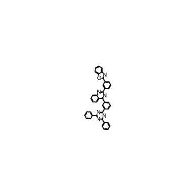 c1ccc(-c2nc(-c3ccccc3)nc(-c3cccc(-c4nc(-c5cccc(-c6nc7ccccc7o6)c5)nc5ccccc45)c3)n2)cc1